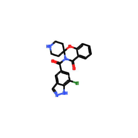 O=C(c1cc(Cl)c2[nH]ncc2c1)N1C(=O)c2ccccc2OC12CCNCC2